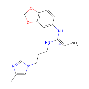 Cc1cn(CCCN/C(=C/[N+](=O)[O-])Nc2ccc3c(c2)OCO3)cn1